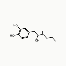 CCCNC(O)Cc1ccc(O)c(O)c1